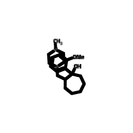 COc1ccccc1C1(O)CCCCCC1CN1CCN(C)CC1